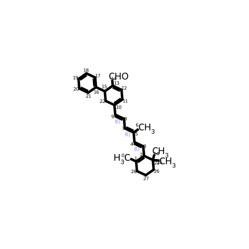 CC1=C(/C=C/C(C)=C/C=C/C2=CC=C(C=O)C(c3ccccc3)C2)C(C)(C)CCC1